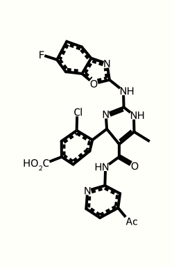 CC(=O)c1ccnc(NC(=O)C2=C(C)NC(Nc3nc4ccc(F)cc4o3)=NC2c2ccc(C(=O)O)cc2Cl)c1